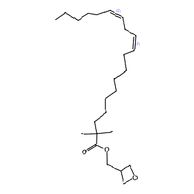 CCCCC/C=C\C/C=C\CCCCCCCC(C)(C)C(=O)OCC1COC1